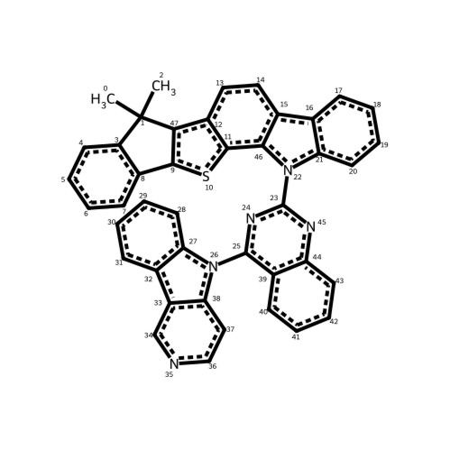 CC1(C)c2ccccc2-c2sc3c(ccc4c5ccccc5n(-c5nc(-n6c7ccccc7c7cnccc76)c6ccccc6n5)c43)c21